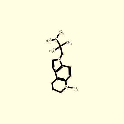 CN1CCCc2c1ccc1c2ccn1CC(C)(C)N(C)C